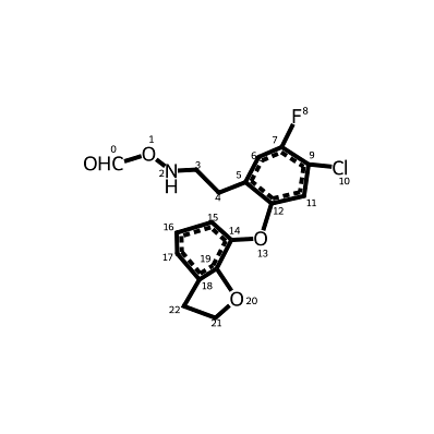 O=CONCCc1cc(F)c(Cl)cc1Oc1cccc2c1OCC2